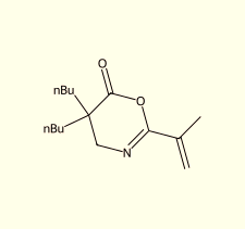 C=C(C)C1=NCC(CCCC)(CCCC)C(=O)O1